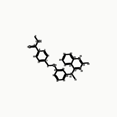 CNC(=O)c1ccc(COc2cccc(N(C)c3nc(C)nc4ccccc34)c2)cc1